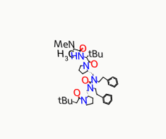 CN[C@@H](C)C(=O)N[C@H](C(=O)N1CCC[C@H]1CN(CCc1ccccc1)C(=O)N(CCc1ccccc1)C[C@@H]1CCCN1C(=O)CC(C)(C)C)C(C)(C)C